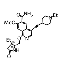 CC[C@@H]1CC(=O)N[C@@H]1COc1ncc(C#CC2CCN(CC)CC2)c2cc(C(N)=O)c(OC)cc12